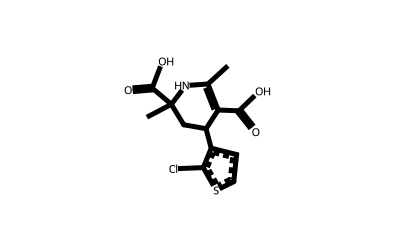 CC1=C(C(=O)O)C(c2ccsc2Cl)CC(C)(C(=O)O)N1